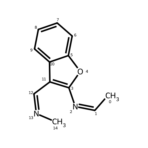 C/C=N\c1oc2ccccc2c1/C=N\C